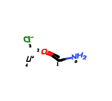 NC=O.[Cl-].[Li+]